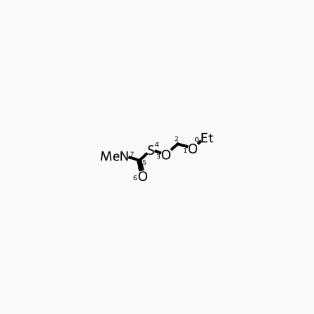 CCOCOSC(=O)NC